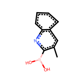 Cc1cc2ccccc2nc1B(O)O